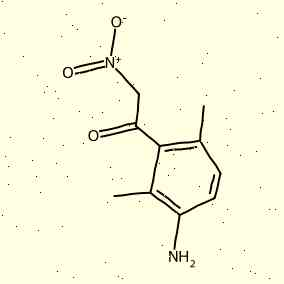 Cc1ccc(N)c(C)c1C(=O)C[N+](=O)[O-]